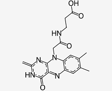 C=c1nc2c(c(=O)[nH]1)=Nc1cc(C)c(C)cc1N2CC(=O)NCCC(=O)O